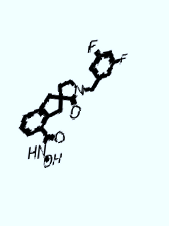 O=C(NO)c1cccc2c1CC1(CCN(Cc3cc(F)cc(F)c3)C1=O)C2